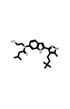 Cc1[nH]nc(-c2cc3ccc(N(CCO)C(=O)CC(C)C)cc3[nH]2)c1CCC(C)(C)C